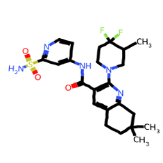 CC1CN(c2nc3c(cc2C(=O)Nc2ccnc(S(N)(=O)=O)c2)CCC(C)(C)C3)CCC1(F)F